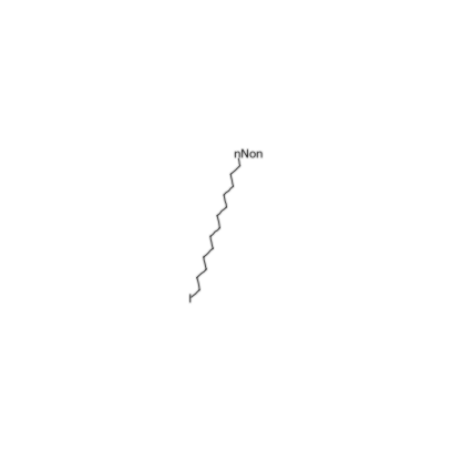 CCCCCCCCCCCCCCCCCCCCCCI